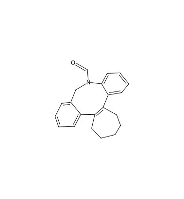 O=CN1Cc2ccccc2C2=C(CCCCC2)c2ccccc21